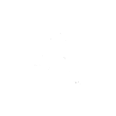 NCCCN(CCS(=O)(=O)O)CCS(=O)(=O)O